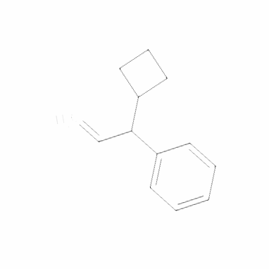 C=CC(c1ccccc1)C1CCC1